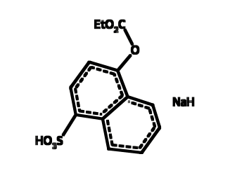 CCOC(=O)Oc1ccc(S(=O)(=O)O)c2ccccc12.[NaH]